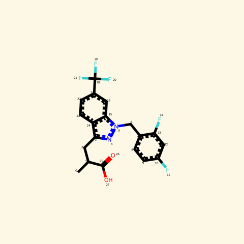 CC(Cc1nn(Cc2ccc(F)cc2F)c2cc(C(F)(F)F)ccc12)C(=O)O